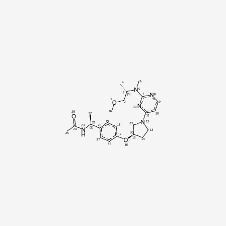 COC[C@H](C)N(C)c1nccc(N2CC[C@@H](Oc3ccc([C@H](C)NC(C)=O)cc3)C2)n1